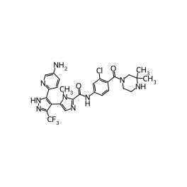 Cn1c(-c2c(C(F)(F)F)n[nH]c2-c2ccc(N)cn2)cnc1C(=O)Nc1ccc(C(=O)N2CCNC(C)(C)C2)c(Cl)c1